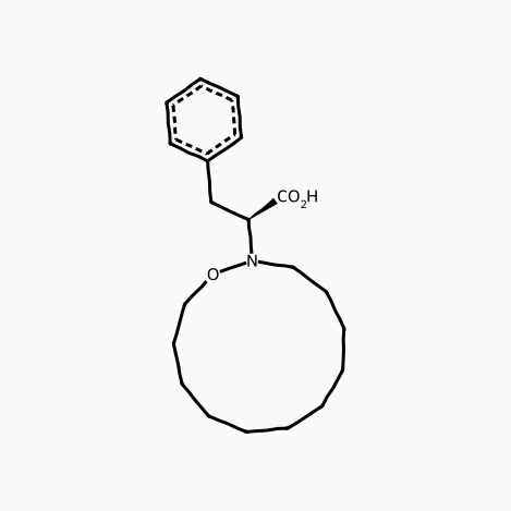 O=C(O)[C@H](Cc1ccccc1)N1CCCCCCCCCCCO1